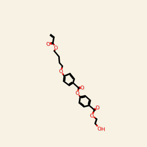 C=CC(=O)OCCCCOc1ccc(C(=O)Oc2ccc(C(=O)OCCO)cc2)cc1